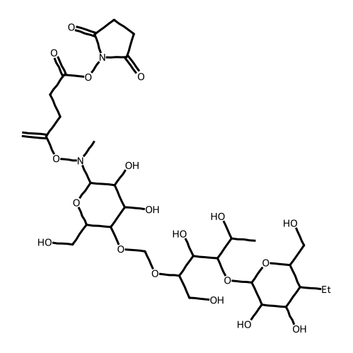 C=C(CCC(=O)ON1C(=O)CCC1=O)ON(C)C1OC(CO)C(OCOC(CO)C(O)C(OC2OC(CO)C(CC)C(O)C2O)C(C)O)C(O)C1O